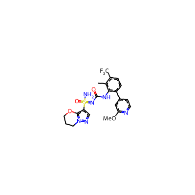 COc1cc(-c2ccc(C(F)(F)F)c(C)c2NC(=O)N=S(N)(=O)c2cnn3c2OCCC3)ccn1